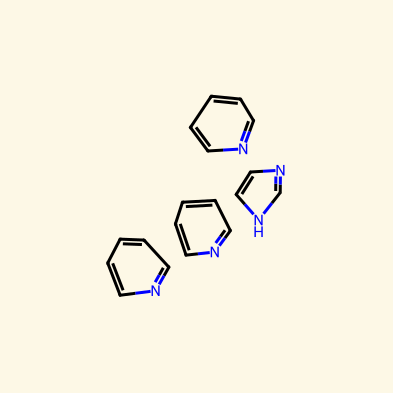 c1c[nH]cn1.c1ccncc1.c1ccncc1.c1ccncc1